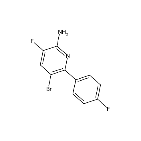 Nc1nc(-c2ccc(F)cc2)c(Br)cc1F